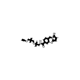 C#COCC(C)(C)COC(C)(C)CNC(=O)C1CCC(CN2C(=O)C=CC2=O)CC1